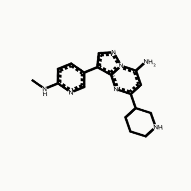 CNc1ccc(-c2cnn3c(N)cc(C4CCCNC4)nc23)cn1